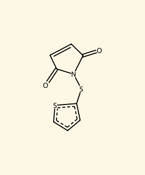 O=C1C=CC(=O)N1Sc1cccs1